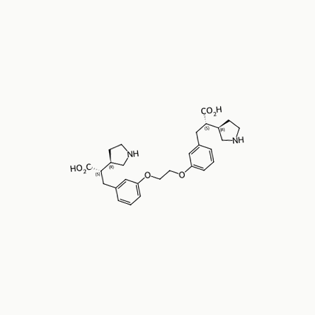 O=C(O)[C@@H](Cc1cccc(OCCOc2cccc(C[C@H](C(=O)O)[C@H]3CCNC3)c2)c1)[C@H]1CCNC1